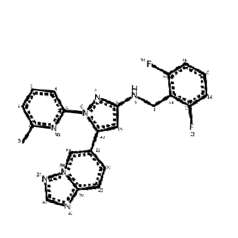 Cc1cccc(-n2nc(NCc3c(F)cccc3F)cc2-c2ccc3ncnn3c2)n1